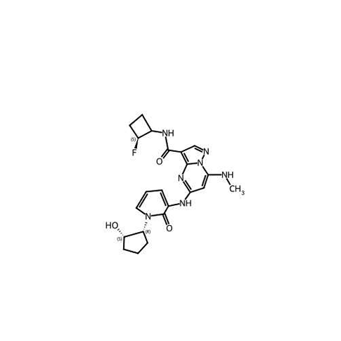 CNc1cc(Nc2cccn([C@@H]3CCC[C@@H]3O)c2=O)nc2c(C(=O)NC3CC[C@@H]3F)cnn12